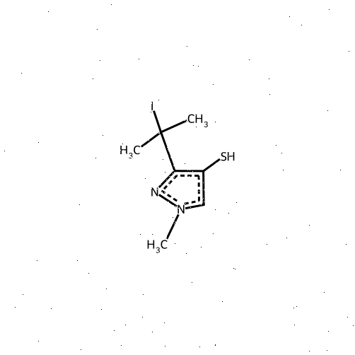 Cn1cc(S)c(C(C)(C)I)n1